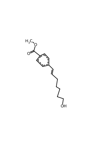 COC(=O)c1ccc(/C=C/CCCCCO)cc1